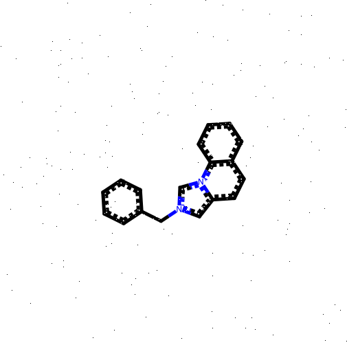 c1ccc(Cn2cc3ccc4ccccc4[n+]3c2)cc1